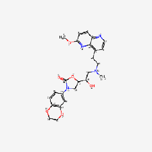 COc1ccc2nccc(CCN(C)CC(O)C3CN(c4ccc5c(c4)OCCO5)C(=O)O3)c2n1